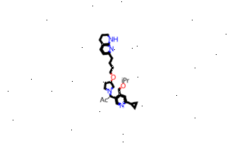 CC(=O)[C@@H](c1cnc(C2CC2)cc1COC(C)C)N1CC[C@@H](OCCCCc2ccc3c(n2)NCCC3)C1